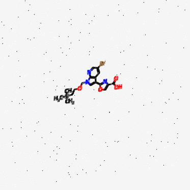 C[Si](C)(C)CCOCn1cc(-c2nc(C(=O)O)co2)c2cc(Br)cnc21